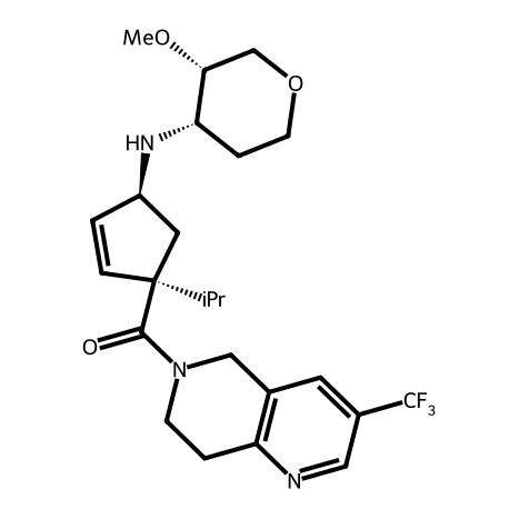 CO[C@@H]1COCC[C@@H]1N[C@@H]1C=C[C@@](C(=O)N2CCc3ncc(C(F)(F)F)cc3C2)(C(C)C)C1